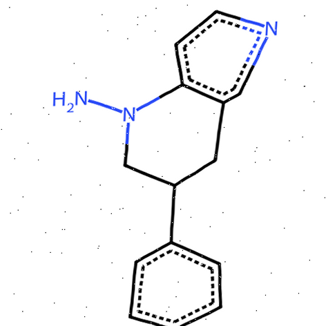 NN1CC(c2ccccc2)Cc2cnccc21